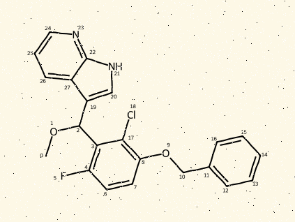 COC(c1c(F)ccc(OCc2ccccc2)c1Cl)c1c[nH]c2ncccc12